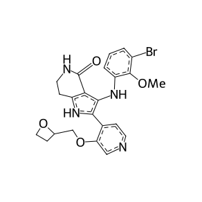 COc1c(Br)cccc1Nc1c(-c2ccncc2OCC2CCO2)[nH]c2c1C(=O)NCC2